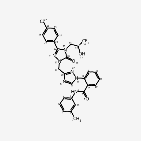 Cc1cccc(NC(=O)c2ccccc2-n2cnc(Cn3nc(-c4ccc(Cl)cc4)n(C[C@H](O)C(F)(F)F)c3=O)n2)c1